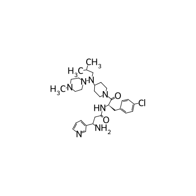 CC(C)CN(C1CCN(C(=O)[C@@H](Cc2ccc(Cl)cc2)NC(=O)CC(N)c2cccnc2)CC1)N1CCN(C)CC1